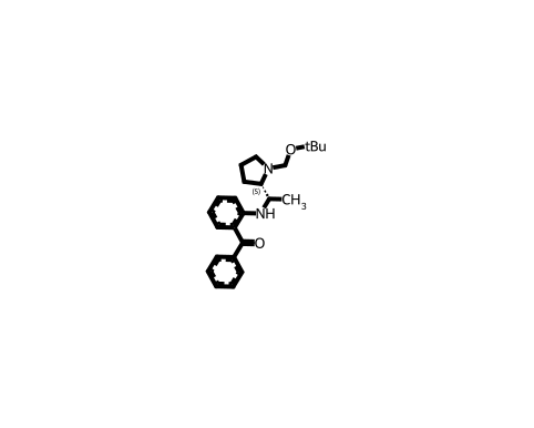 CC(Nc1ccccc1C(=O)c1ccccc1)[C@@H]1CCCN1COC(C)(C)C